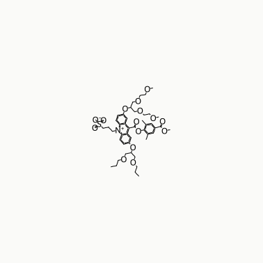 CCCOCC(COCCC)Oc1ccc2c(c1)c(C(=O)Oc1c(C)cc(C(=O)OC)cc1C)c1cc(OC(COCCOC)COCCOC)ccc1[n+]2CCCS(=O)(=O)[O-]